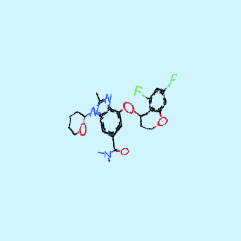 Cc1nc2c(OC3CCOc4cc(F)cc(F)c43)cc(C(=O)N(C)C)cc2n1C1CCCCO1